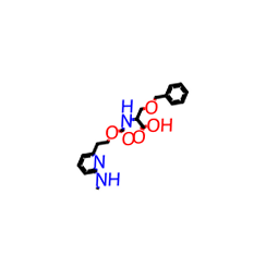 CNc1cccc(CCOC(=O)NC(COCc2ccccc2)C(=O)O)n1